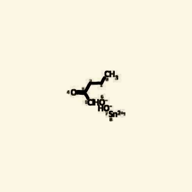 CCCC(=O)Cl.[OH-].[OH-].[Sn+2]